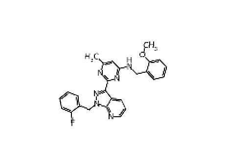 COc1ccccc1CNc1cc(C)nc(-c2nn(Cc3ccccc3F)c3ncccc23)n1